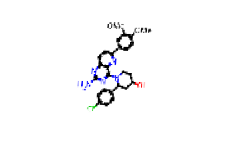 COc1ccc(-c2ccc3nc(N)nc(N4CCC(O)CC4c4ccc(Cl)cc4)c3n2)cc1OC